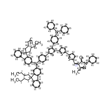 CCCCC1(CCCC)c2ccccc2-c2ccc(N(c3ccc(-c4cc(-c5ccc(N(c6ccccc6)c6ccccc6)cc5)c(-c5ccc(-c6ccc(/C=C7\C(=O)N(c8ccccc8)N=C7C)s6)s5)s4)cc3)c3ccc4c(c3)C(CCCC)(CCCC)c3ccccc3-4)cc21